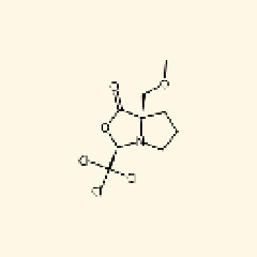 COC[C@@]12CCCN1[C@@H](C(Cl)(Cl)Cl)OC2=O